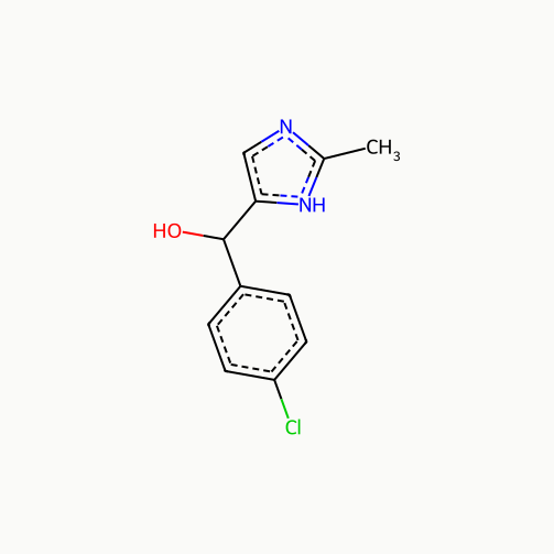 Cc1ncc(C(O)c2ccc(Cl)cc2)[nH]1